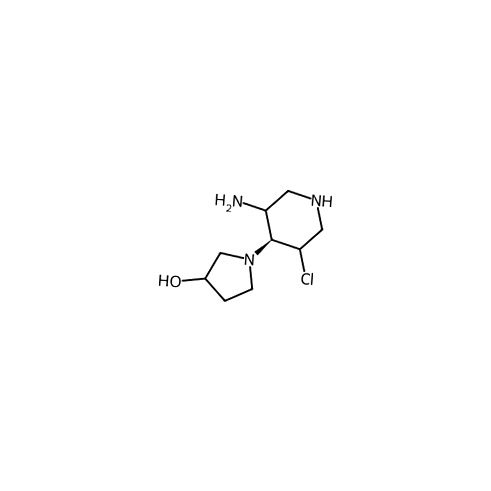 NC1CNCC(Cl)[C@H]1N1CCC(O)C1